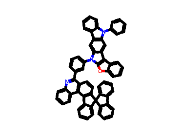 c1ccc(-n2c3ccccc3c3cc4c(cc32)c2c3ccccc3oc2n4-c2cccc(-c3nc4ccccc4c4c5c(ccc34)C3(c4ccccc4-c4ccccc43)c3ccccc3-5)c2)cc1